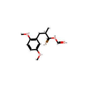 COc1ccc(OC)c(CC(C)C(=S)OC=O)c1